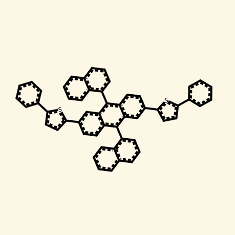 c1ccc(-c2ccc(-c3ccc4c(-c5cccc6ccccc56)c5cc(-c6ccc(-c7ccccc7)s6)ccc5c(-c5cccc6ccccc56)c4c3)s2)cc1